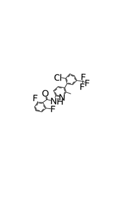 Cc1nc(NC(=O)c2c(F)cccc2F)ccc1-c1cc(C(F)(F)F)ccc1Cl